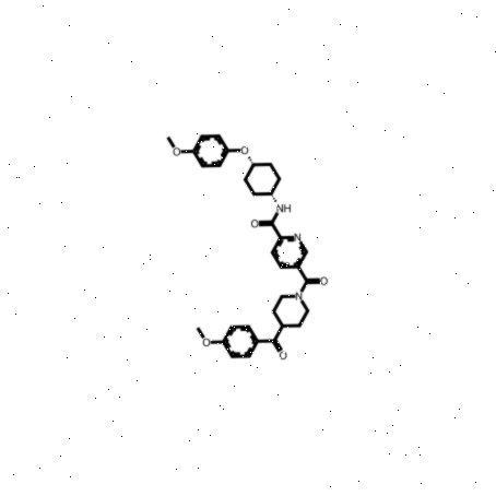 COc1ccc(O[C@H]2CC[C@@H](NC(=O)c3ccc(C(=O)N4CCC(C(=O)c5ccc(OC)cc5)CC4)cn3)CC2)cc1